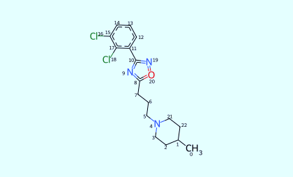 CC1CCN(CCCc2nc(-c3cccc(Cl)c3Cl)no2)CC1